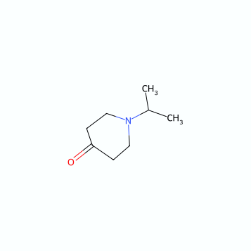 CC(C)N1CCC(=O)CC1